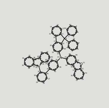 c1ccc(C2(c3ccccc3)c3ccccc3-c3ccc(N(c4ccc(-c5ccccc5-n5c6ccccc6c6ccccc65)cc4)c4ccc5oc6ccccc6c5c4)cc32)cc1